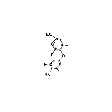 CCc1cc(I)c(Oc2cc(I)c(C)c(I)c2)c(I)c1